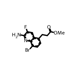 COC(=O)CCc1ccc(Br)c2nc(N)c(F)cc12